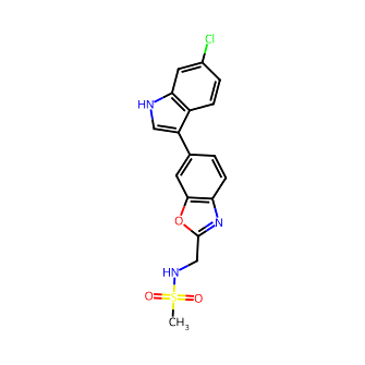 CS(=O)(=O)NCc1nc2ccc(-c3c[nH]c4cc(Cl)ccc34)cc2o1